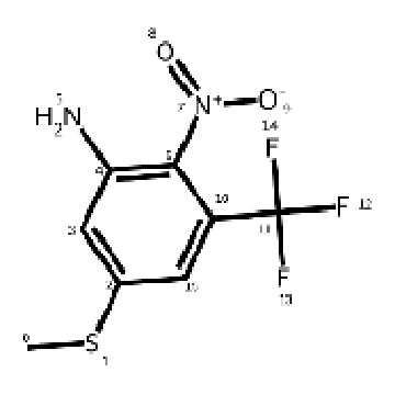 CSc1cc(N)c([N+](=O)[O-])c(C(F)(F)F)c1